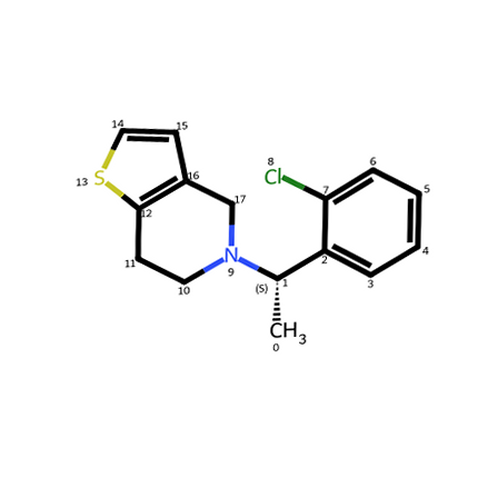 C[C@@H](c1ccccc1Cl)N1CCc2sccc2C1